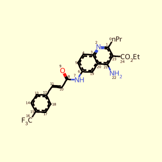 CCCc1nc2ccc(NC(=O)C=Cc3ccc(C(F)(F)F)cc3)cc2c(N)c1C(=O)OCC